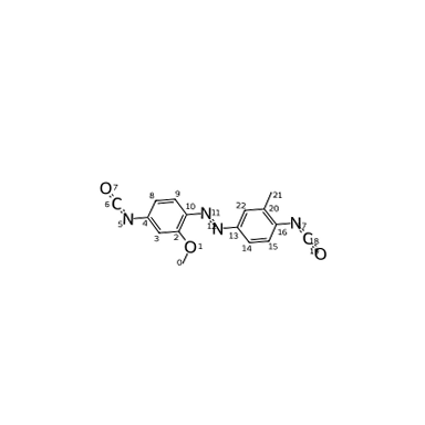 COc1cc(N=C=O)ccc1N=Nc1ccc(N=C=O)c(C)c1